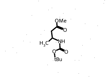 COC(=O)CC(C)NC(=O)OC(C)(C)C